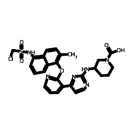 Cc1ccc2c(NS(=O)(=O)CCl)cccc2c1Oc1ncccc1-c1ccnc(NC2CCCN(C(=O)O)C2)n1